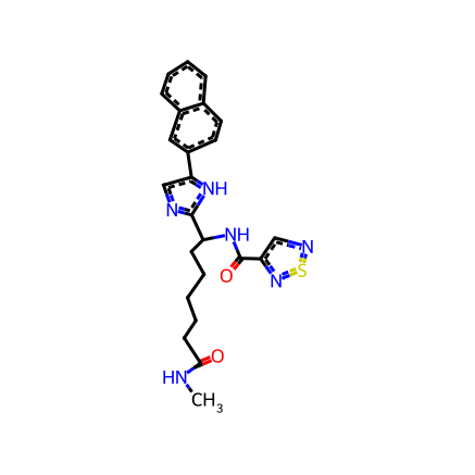 CNC(=O)CCCCCC(NC(=O)c1cnsn1)c1ncc(-c2ccc3ccccc3c2)[nH]1